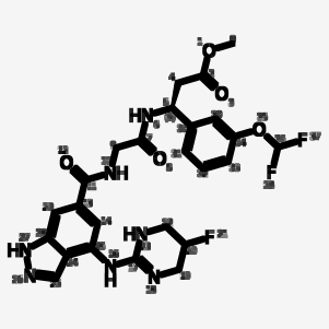 COC(=O)C[C@H](NC(=O)CNC(=O)c1cc(NC2=NCC(F)CN2)c2cn[nH]c2c1)c1cccc(OC(F)F)c1